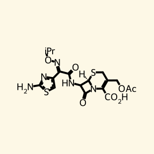 CC(=O)OCC1=C(C(=O)O)N2C(=O)C(NC(=O)/C(=N/OC(C)C)c3csc(N)n3)[C@H]2SC1